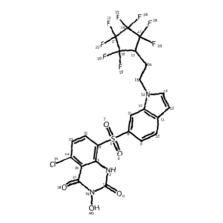 O=c1[nH]c2c(S(=O)(=O)c3ccc4ccn(CCC5C(F)(F)C(F)(F)C(F)(F)C5(F)F)c4c3)ccc(Cl)c2c(=O)n1O